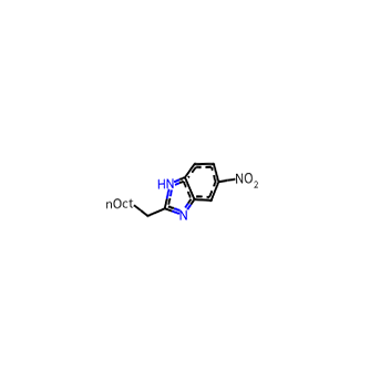 CCCCCCCCCc1nc2cc([N+](=O)[O-])ccc2[nH]1